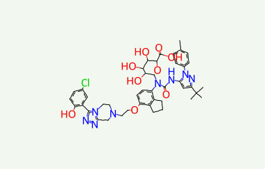 Cc1ccc(-n2nc(C(C)(C)C)cc2NC(=O)N(c2ccc(OCCN3CCn4c(nnc4-c4cc(Cl)ccc4O)C3)c3c2CCC3)C2OC(C(=O)O)C(O)C(O)C2O)cc1